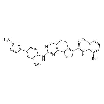 CCc1cccc(CC)c1NC(=O)c1ccn2c1CCc1cnc(Nc3ccc(-c4cnn(C)c4)cc3OC)nc1-2